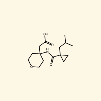 CC(C)CC1(C(=O)NC2(CC(=O)O)CCOCC2)CC1